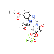 COC(=O)c1ccc2nc(CN3CC=C(OS(=O)(=O)C(F)(F)F)CC3=O)n(C[C@@H]3CCO3)c2c1